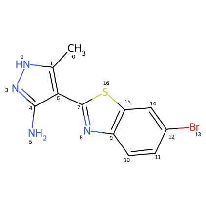 Cc1[nH]nc(N)c1-c1nc2ccc(Br)cc2s1